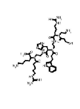 N=C(N)NCCCCC(=O)N(CCNC(=O)C(Cc1cnc[nH]1)N(CCNC(=O)C(CCCNC(=N)N)N(CCN)C(=O)CCS)C(=O)CCc1c[nH]c2ccccc12)C(CCCCN)C(N)=O